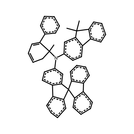 CC1(C)c2ccccc2-c2ccc(N(c3ccc4c(c3)C3(c5ccccc5-c5ccccc53)c3ccccc3-4)C3(C)CC=CC=C3c3ccccc3)cc21